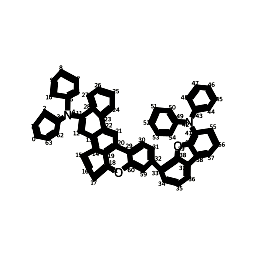 c1ccc(N(c2ccccc2)c2cc3c4cccc5c4c(cc3c3ccccc23)-c2ccc(-c3cccc4c3oc3c(N(c6ccccc6)c6ccccc6)cccc34)cc2O5)cc1